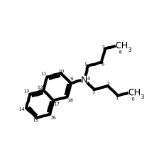 CCCCN(CCCC)c1ccc2c[c]ccc2c1